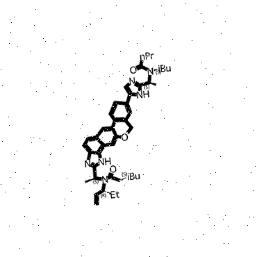 C=C[C@@H](CC)N(C(=O)C[C@@H](C)CC)[C@@H](C)c1nc2ccc3cc4c(cc3c2[nH]1)OCc1cc(-c2cnc([C@H](C)N(C(=O)CCC)[C@@H](C)CC)[nH]2)ccc1-4